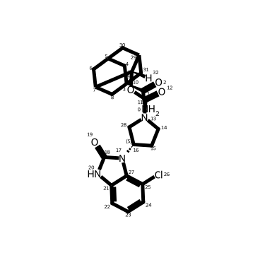 NC(=O)[C@]12CC3CC(C1)[C@@H](OC(=O)N1CC[C@H](n4c(=O)[nH]c5cccc(Cl)c54)C1)C(C3)C2